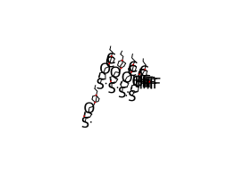 CCCC12CCC(COc3ccc([S])cc3)(CC1)CC2.CCCC12CCC(COc3ccc([S])cc3)(CC1)CC2.CCCC12CCC(COc3ccc([S])cc3)(CC1)CC2.CCCC12CCC(COc3ccc([S])cc3)(CC1)CC2.CCCC12CCC(COc3ccc([S])cc3)(CC1)CC2.F.F.F.F.F